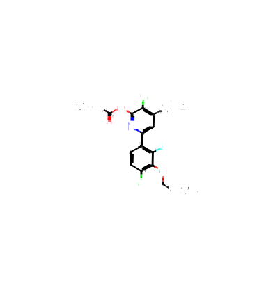 COCOc1c(Cl)ccc(-c2cc(NC(C)=O)c(Cl)c(OC(=O)OC)n2)c1F